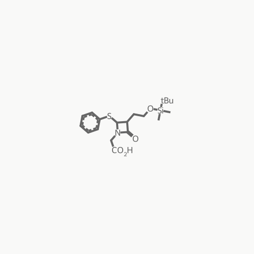 CC(C)(C)[Si](C)(C)OCCC1C(=O)N(CC(=O)O)C1Sc1ccccc1